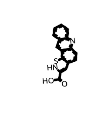 O=C(O)C1=Cc2ccc3nc4ccccc4cc3c2SN1